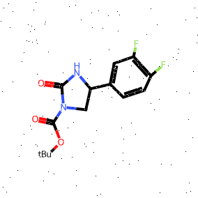 CC(C)(C)OC(=O)N1CC(c2ccc(F)c(F)c2)NC1=O